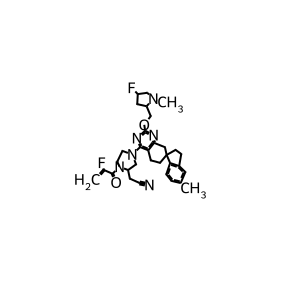 C=C(F)C(=O)N1CCN(c2nc(OCC3CC(F)CN3C)nc3c2CCC2(CCc4cc(C)ccc42)C3)CC1CC#N